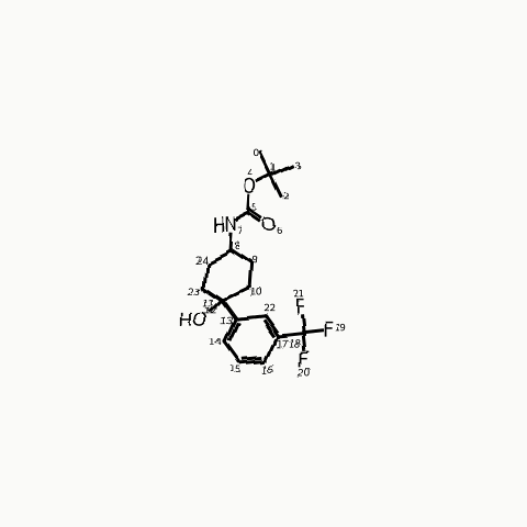 CC(C)(C)OC(=O)NC1CCC(O)(c2cccc(C(F)(F)F)c2)CC1